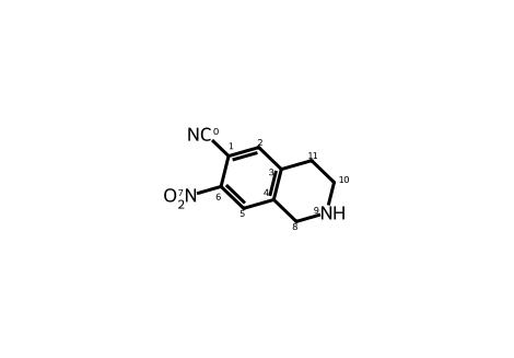 N#Cc1cc2c(cc1[N+](=O)[O-])CNCC2